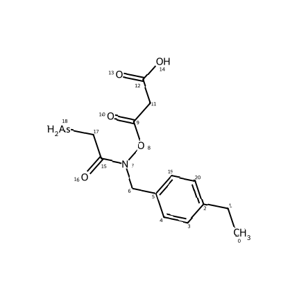 CCc1ccc(CN(OC(=O)CC(=O)O)C(=O)C[AsH2])cc1